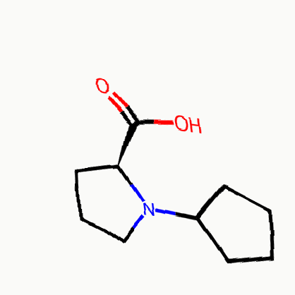 O=C(O)[C@@H]1CCCN1C1CCCC1